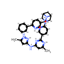 Cc1cc(Nc2cc(C)[nH]n2)nc(-c2ccc(N3CC4CC(C3)N4Cc3ccc(-c4ccccc4)nc3)nc2)n1